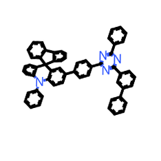 c1ccc(-c2cccc(-c3nc(-c4ccccc4)nc(-c4ccc(-c5ccc6c(c5)C5(c7ccccc7-c7ccccc75)c5ccccc5N6c5ccccc5)cc4)n3)c2)cc1